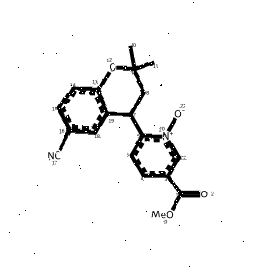 COC(=O)c1ccc(C2CC(C)(C)Oc3ccc(C#N)cc32)[n+]([O-])c1